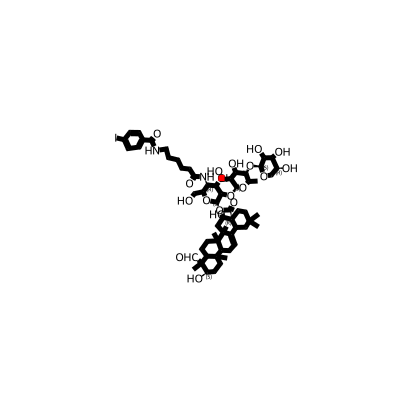 CC1O[C@@H](OC2C(O)[C@@H](NC(=O)CCCCCNC(=O)c3ccc(I)cc3)C(CO)O[C@H]2OC(=O)[C@]23CCC(C)(C)CC2C2=CCC4C5(C)CC[C@H](O)C(C)(C=O)C5CCC4(C)C2(C)CC3O)C(CO)C(O)[C@H]1O[C@@H]1OC[C@@H](O)C(O)C1O